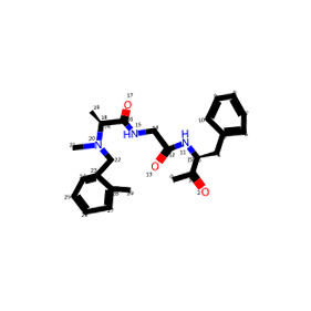 CC(=O)[C@H](Cc1ccccc1)NC(=O)CNC(=O)[C@H](C)N(C)Cc1ccccc1C